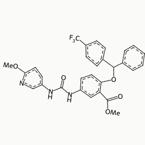 COC(=O)c1cc(NC(=O)Nc2ccc(OC)nc2)ccc1OC(c1ccccc1)c1ccc(C(F)(F)F)cc1